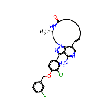 C[C@@H]1CCn2nc(-c3ccc(OCc4cccc(F)c4)c(Cl)c3)c3c(N)ncc(c32)/C=C/CCCCCC(=O)N1